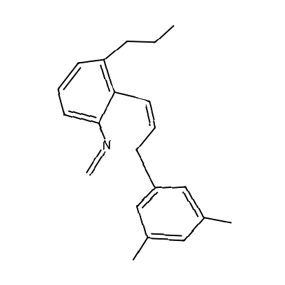 C=Nc1cccc(CCC)c1/C=C\Cc1cc(C)cc(C)c1